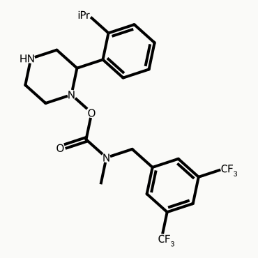 CC(C)c1ccccc1C1CNCCN1OC(=O)N(C)Cc1cc(C(F)(F)F)cc(C(F)(F)F)c1